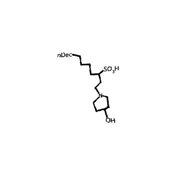 CCCCCCCCCCCCCCC(CCN1CCC(O)CC1)S(=O)(=O)O